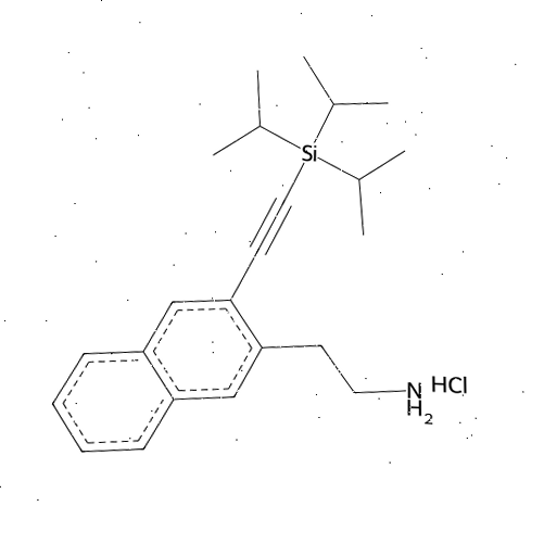 CC(C)[Si](C#Cc1cc2ccccc2cc1CCN)(C(C)C)C(C)C.Cl